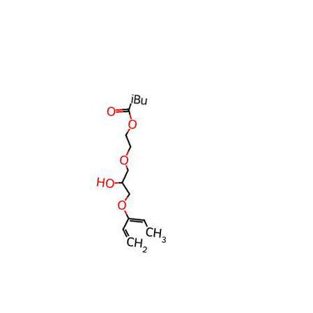 C=CC(=CC)OCC(O)COCCOC(=O)C(C)CC